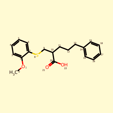 COc1ccccc1SCC(CCCc1ccccc1)C(=O)O